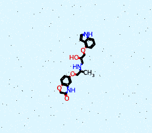 CC(COc1ccc2c(c1)NC(=O)CO2)NCC(O)COc1cccc2[nH]ccc12